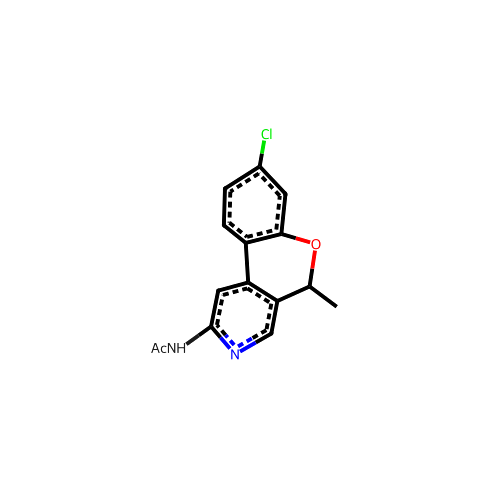 CC(=O)Nc1cc2c(cn1)C(C)Oc1cc(Cl)ccc1-2